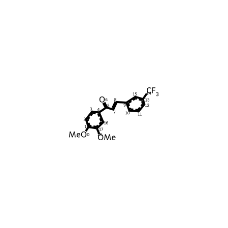 COc1ccc(C(=O)C=Cc2cccc(C(F)(F)F)c2)cc1OC